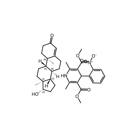 COC(=O)C1=C(C)NC(C)=C(C(=O)OC)C1c1ccccc1[N+](=O)[O-].C[C@]12CC[C@H]3[C@@H](CCC4=CC(=O)CC[C@@]43C)[C@@H]1CC[C@@H]2O